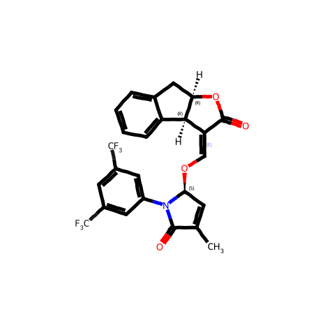 CC1=C[C@H](O/C=C2/C(=O)O[C@@H]3Cc4ccccc4[C@H]23)N(c2cc(C(F)(F)F)cc(C(F)(F)F)c2)C1=O